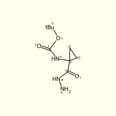 CC(C)(C)OC(=O)NC1(C(=O)NN)CC1